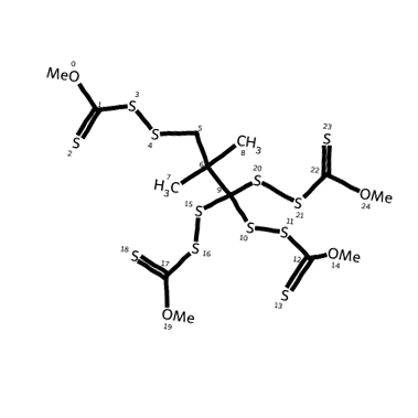 COC(=S)SSCC(C)(C)C(SSC(=S)OC)(SSC(=S)OC)SSC(=S)OC